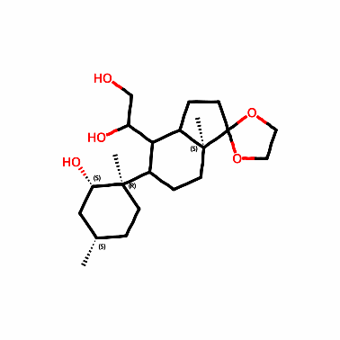 C[C@H]1CC[C@](C)(C2CC[C@@]3(C)C(CCC34OCCO4)C2C(O)CO)[C@@H](O)C1